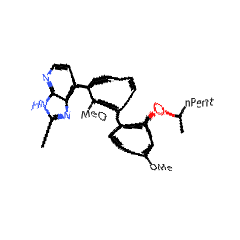 CCCCCC(C)Oc1cc(OC)ccc1-c1cccc(-c2ccnc3[nH]c(C)nc23)c1OC